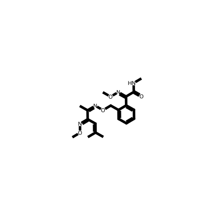 CNC(=O)/C(=N/OC)c1ccccc1CON=C(C)/C(C=C(C)C)=N/OC